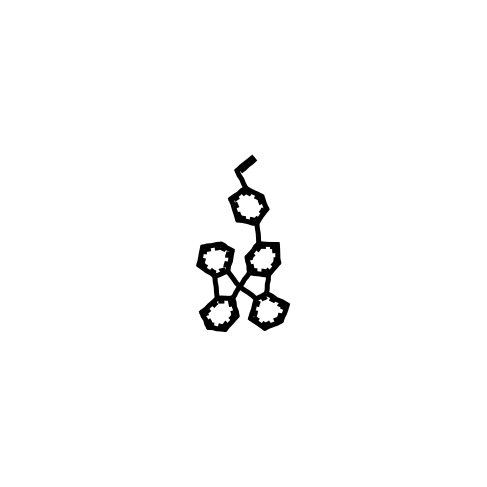 C=Cc1ccc(-c2ccc3c(c2)C2(c4ccccc4-c4ccccc42)c2ccccc2-3)cc1